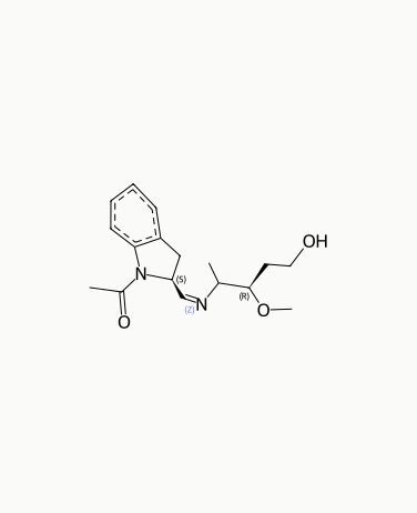 CO[C@H](CCO)C(C)/N=C\[C@@H]1Cc2ccccc2N1C(C)=O